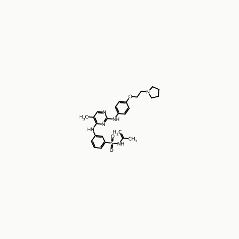 C=C(C)NS(=O)(=O)c1cccc(Nc2nc(Nc3ccc(OCCN4CCCC4)cc3)ncc2C)c1